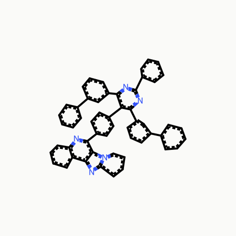 c1ccc(-c2cccc(-c3nc(-c4ccccc4)nc(-c4cccc(-c5ccccc5)c4)c3-c3ccc(-c4nc5ccccc5c5nc6ccccn6c45)cc3)c2)cc1